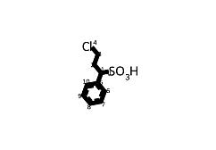 O=S(=O)(O)C(CCCl)c1ccccc1